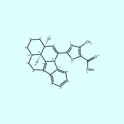 CC[C@@]12C=C(c3nc(C)c(C(=O)OC)o3)n3c4c(c5ccccc53)CCN(CCC1)[C@H]42